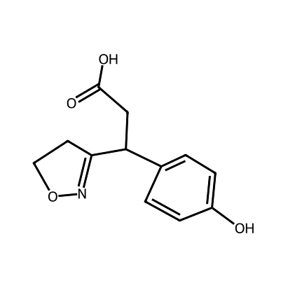 O=C(O)CC(C1=NOCC1)c1ccc(O)cc1